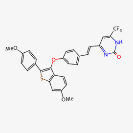 COc1ccc(-c2sc3cc(OC)ccc3c2Oc2ccc(/C=C/c3cc(C(F)(F)F)[nH]c(=O)n3)cc2)cc1